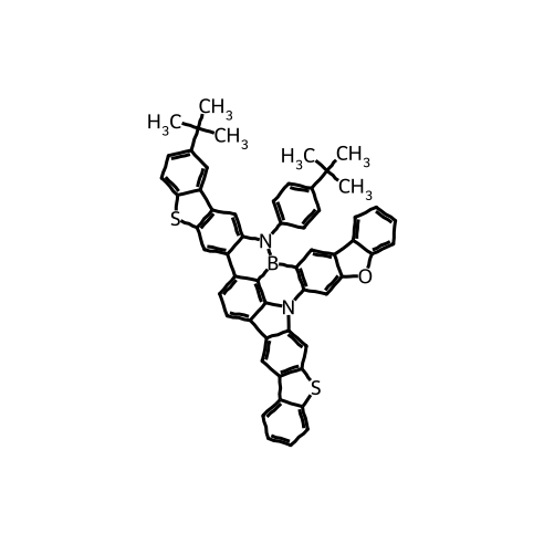 CC(C)(C)c1ccc(N2B3c4cc5c(cc4-n4c6cc7sc8ccccc8c7cc6c6ccc(c3c64)-c3cc4sc6ccc(C(C)(C)C)cc6c4cc32)oc2ccccc25)cc1